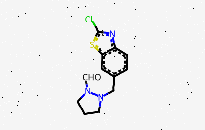 O=CN1CCCN1Cc1ccc2nc(Cl)sc2c1